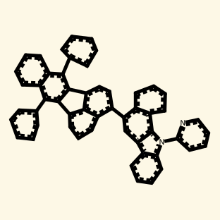 c1ccc(-c2c3c(c(-c4ccccc4)c4ccccc24)-c2ccc(-c4cc5c6ccccc6n(-c6ccccn6)c5c5ccccc45)c4cccc-3c24)cc1